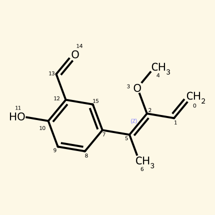 C=C/C(OC)=C(\C)c1ccc(O)c(C=O)c1